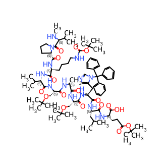 CN[C@H](C(=O)N1CCC[C@H]1C(=O)N[C@@H](CCCCNC(=O)OC(C)(C)C)C(=O)N[C@H](C(=O)N[C@@H](COC(C)(C)C)C(=O)N[C@@H](C)C(=O)N[C@@H](COC(C)(C)C)C(=O)N[C@@H](Cc1cncn1C(c1ccccc1)(c1ccccc1)c1ccccc1)C(=O)N[C@@H](CC(C)C)C(=O)N[C@@H](CCC(=O)OC(C)(C)C)C(=O)O)C(C)C)C(C)C